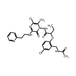 CCC(Oc1ccc(Cl)cc1CNC(C)=O)C(=O)Nn1c(C)c(Cl)nc(NCCc2ccccn2)c1=O